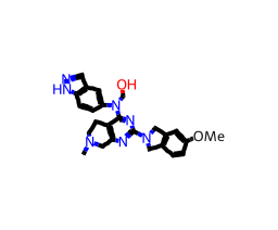 COc1ccc2c(c1)CN(c1nc3c(c(N(CO)c4ccc5[nH]ncc5c4)n1)CCN(C)C3)C2